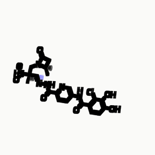 C[C@@H]1CC(=O)N1C[C@](C)(/C=N/NC(=O)c1ccc(NC(=O)c2ccc(O)c(O)c2Cl)cn1)[SH](=O)=O